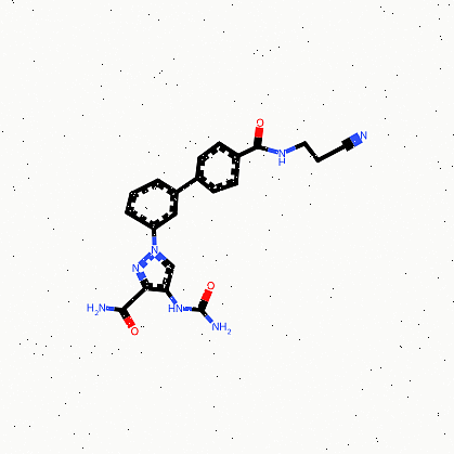 N#CCCNC(=O)c1ccc(-c2cccc(-n3cc(NC(N)=O)c(C(N)=O)n3)c2)cc1